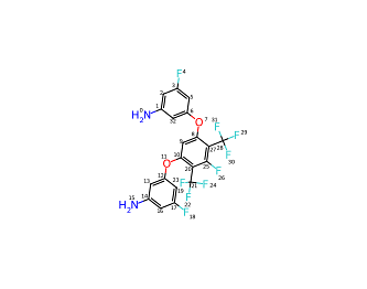 Nc1cc(F)cc(Oc2cc(Oc3cc(N)cc(F)c3)c(C(F)(F)F)c(F)c2C(F)(F)F)c1